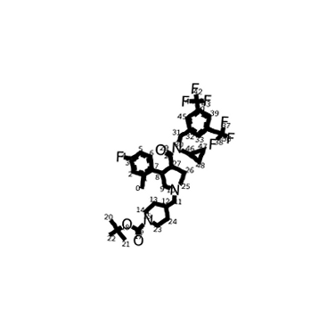 Cc1cc(F)ccc1C1CN(CC2CCN(C(=O)OC(C)(C)C)CC2)CCC1C(=O)N(Cc1cc(C(F)(F)F)cc(C(F)(F)F)c1)C1CC1